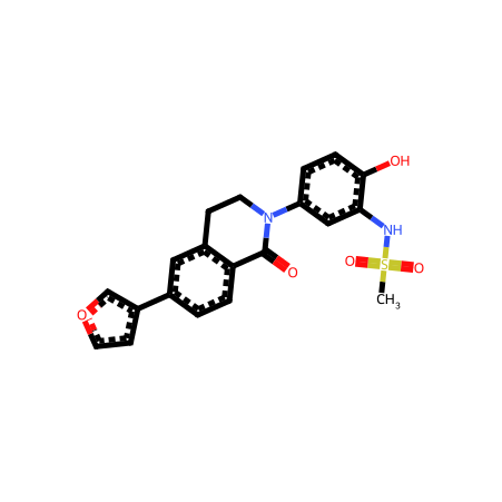 CS(=O)(=O)Nc1cc(N2CCc3cc(-c4ccoc4)ccc3C2=O)ccc1O